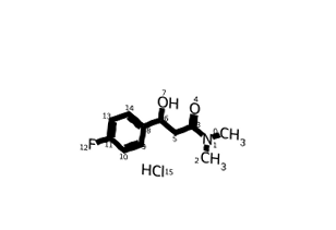 CN(C)C(=O)CC(O)c1ccc(F)cc1.Cl